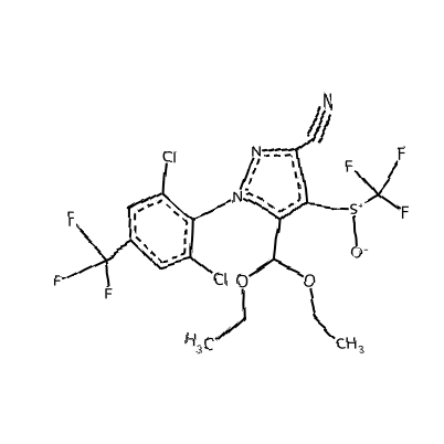 CCOC(OCC)c1c([S+]([O-])C(F)(F)F)c(C#N)nn1-c1c(Cl)cc(C(F)(F)F)cc1Cl